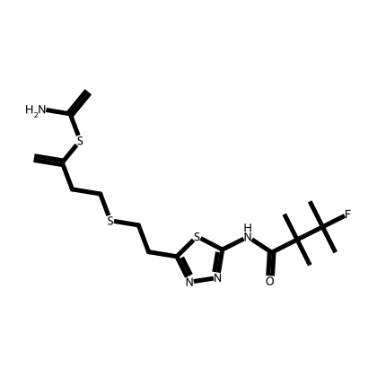 C=C(N)SC(=C)CCSCCc1nnc(NC(=O)C(C)(C)C(C)(C)F)s1